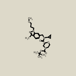 COCCCn1nc(C)c2ccc(CN(C(=O)[C@H]3CN(C(=O)OC(C)(C)C)CCO3)C3CC3)cc21